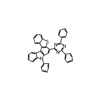 c1ccc(-c2nc(-c3ccccc3)nc(-c3cc4c(c5ccccc5n4-c4ccccc4)c4c3sc3ccccc34)n2)cc1